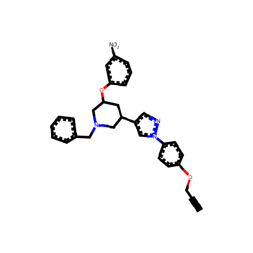 C#CCOc1ccc(-n2cc(C3CC(Oc4cccc([N+](=O)[O-])c4)CN(Cc4ccccc4)C3)cn2)cc1